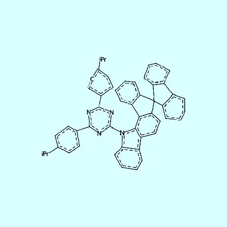 CC(C)c1ccc(-c2nc(-c3ccc(C(C)C)cc3)nc(-n3c4ccccc4c4ccc5c(c43)-c3ccccc3C53c4ccccc4-c4ccccc43)n2)cc1